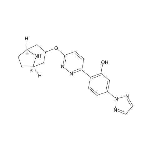 Oc1cc(-n2nccn2)ccc1-c1ccc(OC2C[C@H]3CC[C@@H](C2)N3)nn1